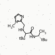 C[C@@H](NC(=O)C(NCc1nccn1C)C(C)(C)C)C(C)(C)C